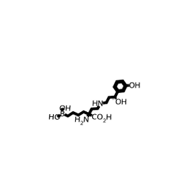 NC(CCCCB(O)O)(CCNCC[C@H](O)c1cccc(O)c1)C(=O)O